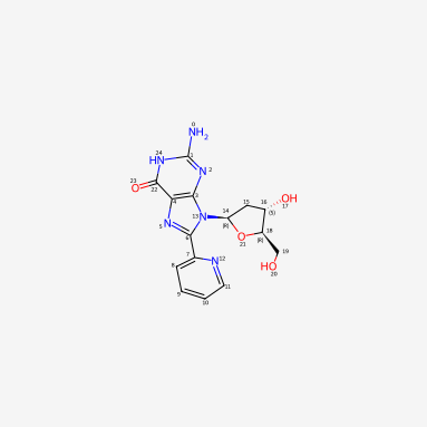 Nc1nc2c(nc(-c3ccccn3)n2[C@H]2C[C@H](O)[C@@H](CO)O2)c(=O)[nH]1